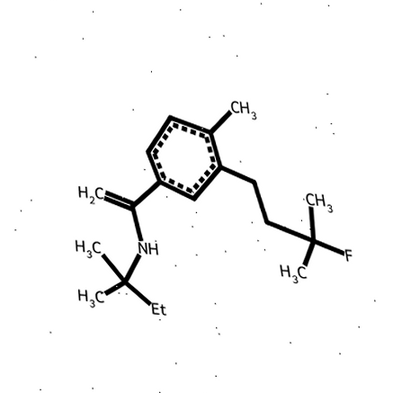 C=C(NC(C)(C)CC)c1ccc(C)c(CCC(C)(C)F)c1